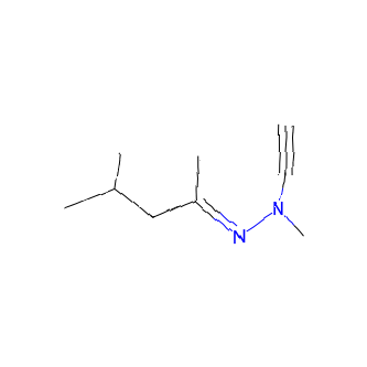 C#CN(C)/N=C(\C)CC(C)C